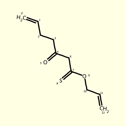 C=CCCC(=O)CC(=S)OCC=C